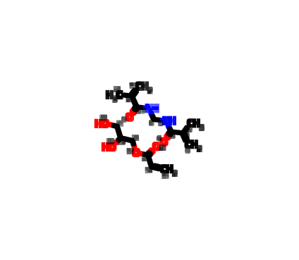 C=C(C)C(=O)NCNC(=O)C(=C)C.C=CC(=O)OCC(O)CO